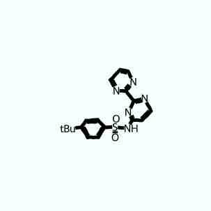 CC(C)(C)c1ccc(S(=O)(=O)Nc2ccnc(-c3ncccn3)n2)cc1